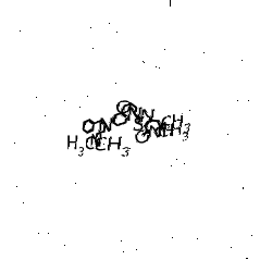 CN(C)CCN(Cc1ccccc1)c1ccc2c(c1)OCCN2c1nc2c(s1)C(=O)NC(C)(C)C2